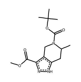 COC(=O)c1n[nH]c2c1CN(C(=O)OC(C)(C)C)C(C)C2